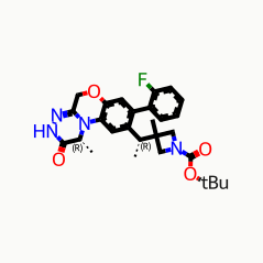 C[C@@H]1C(=O)NN=C2COc3cc(-c4ccccc4F)c([C@@H](C)C4(C)CN(C(=O)OC(C)(C)C)C4)cc3N21